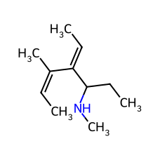 C/C=C(C)\C(=C/C)C(CC)NC